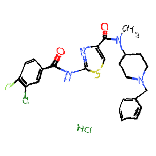 CN(C(=O)c1csc(NC(=O)c2ccc(F)c(Cl)c2)n1)C1CCN(Cc2ccccc2)CC1.Cl